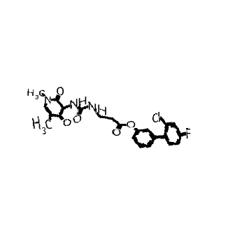 CC1=CN(C)C(=O)C(NC(=O)NCCC(=O)Oc2cccc(-c3ccc(F)cc3Cl)c2)C1=O